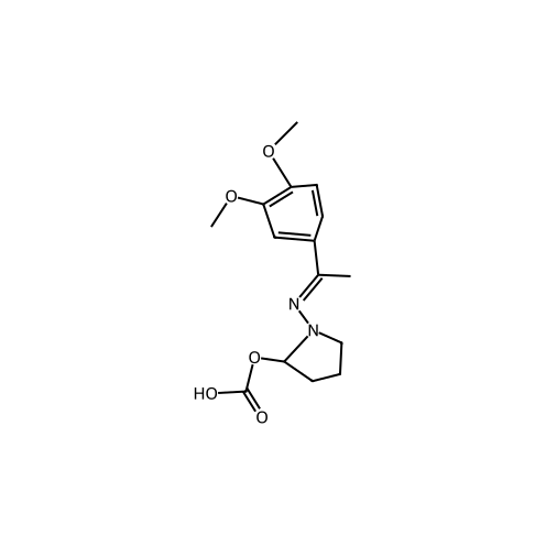 COc1ccc(/C(C)=N/N2CCCC2OC(=O)O)cc1OC